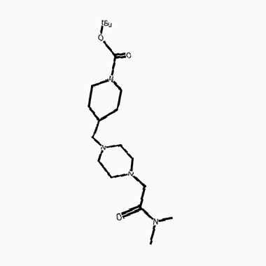 CN(C)C(=O)CN1CCN(CC2CCN(C(=O)OC(C)(C)C)CC2)CC1